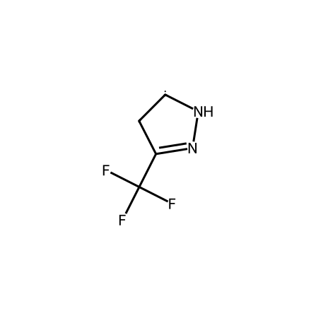 FC(F)(F)C1=NN[CH]C1